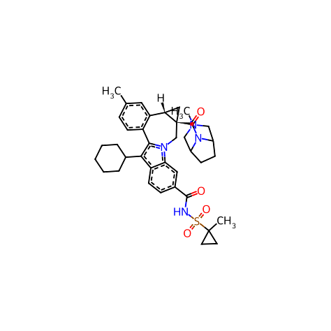 Cc1ccc2c(c1)[C@@H]1C[C@]1(C(=O)N1C3CCC1CN(C)C3)Cn1c-2c(C2CCCCC2)c2ccc(C(=O)NS(=O)(=O)C3(C)CC3)cc21